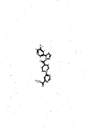 NC(=O)c1cc(N2CCC(C(=O)N3N=CCC3c3cncc(F)c3)CC2)ncn1